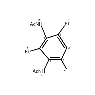 CCc1cc(C)c(NC(C)=O)c(CC)c1NC(C)=O